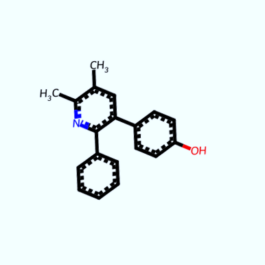 Cc1cc(-c2ccc(O)cc2)c(-c2ccccc2)nc1C